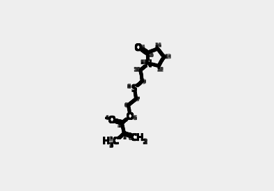 C=C(C)C(=O)OCCSCCN1CCCC1=O